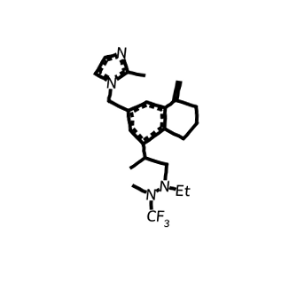 C=C1CCCc2c1cc(Cn1ccnc1C)cc2C(C)CN(CC)N(C)C(F)(F)F